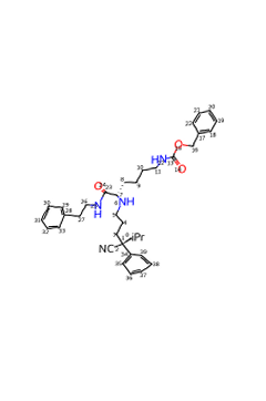 CC(C)[C@@](C#N)(CCCN[C@@H](CCCCNC(=O)OCc1ccccc1)C(=O)NCCc1ccccc1)c1ccccc1